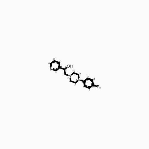 OC(CN1CCN(c2ccc(F)cc2)CC1)c1cccnc1